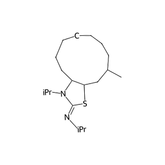 CC1CCCCCCCC2C(C1)S/C(=N\C(C)C)N2C(C)C